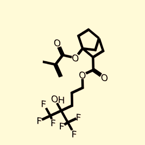 C=C(C)C(=O)OC12CCC(CC1C(=O)OCCCC(O)(C(F)(F)F)C(F)(F)F)C2